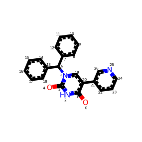 O=c1[nH]c(=O)n(C(c2ccccc2)c2ccccc2)cc1-c1cccnc1